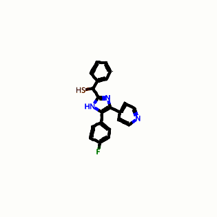 Fc1ccc(-c2[nH]c(C(S)c3c[c]ccc3)nc2-c2ccncc2)cc1